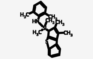 CC1=C(C)C([Si](C)(C)Nc2c(C)cccc2C)c2sc3ccccc3c21